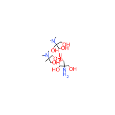 CN(C)C(C)(CO)CO.CN(C)C(CO)(CO)CO.NC(CO)(CO)CO